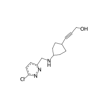 OCC#CC1CCC(NCc2ccc(Cl)nn2)CC1